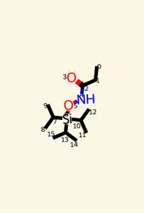 CCC(=O)NO[Si](C(C)C)(C(C)C)C(C)C